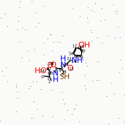 CC(C)[C@@H](NC(=O)[C@H](CS)NC(=O)CNc1ccc(O)cc1)C(=O)O